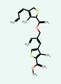 C=C/C=C\C1=C(C)C(C(=C)OC/C(C=C)=C/c2csc(C(=C)OC)c2C)SC1